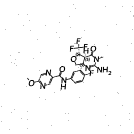 COc1cnc(C(=O)Nc2ccc(F)c([C@]34CO[C@H](C(F)(F)F)[C@H]3C(=O)N(C)C(N)=N4)c2)cn1